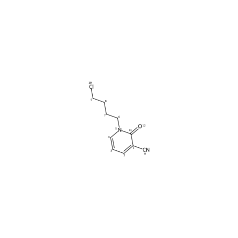 N#Cc1cccn(CCCCCl)c1=O